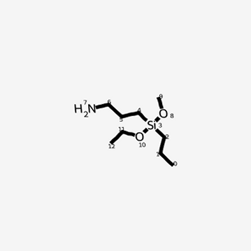 CCC[Si](CCCN)(OC)OCC